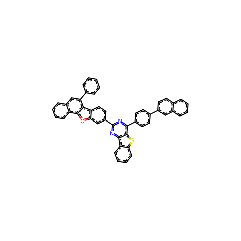 c1ccc(-c2cc3ccccc3c3oc4cc(-c5nc(-c6ccc(-c7ccc8ccccc8c7)cc6)c6sc7ccccc7c6n5)ccc4c23)cc1